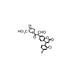 O=CC(C(=O)N1CCN[C@@H](C(=O)O)C1)c1ccc2c(-c3ccc(F)cc3Cl)cc(=O)oc2c1